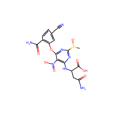 C[S+]([O-])c1nc(NC(CC(N)=O)C(=O)O)c([N+](=O)[O-])c(Oc2cc(C#N)ccc2C(N)=O)n1